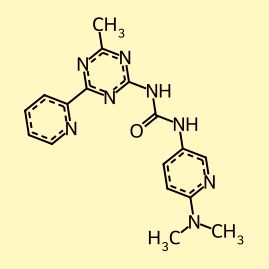 Cc1nc(NC(=O)Nc2ccc(N(C)C)nc2)nc(-c2ccccn2)n1